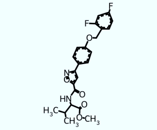 COC(=O)C(NC(=O)c1cc(-c2ccc(OCc3ccc(F)cc3F)cc2)no1)C(C)C